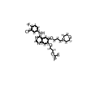 Fc1ccc(Nc2ncnc3cc(OCCOC(F)F)c(OCCCN4CCOCC4)cc23)cc1Cl